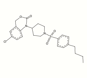 CCCCc1ccc(S(=O)(=O)N2CCC(N3C(=O)OCc4cc(Cl)ccc43)CC2)cc1